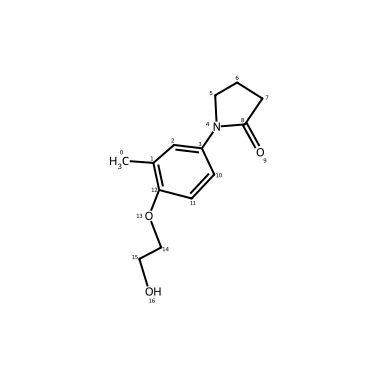 Cc1cc(N2CCCC2=O)ccc1OCCO